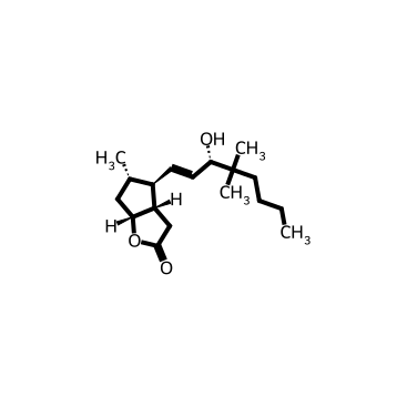 CCCCC(C)(C)[C@@H](O)C=C[C@H]1[C@@H]2CC(=O)O[C@@H]2C[C@@H]1C